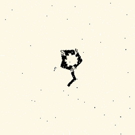 CC[n+]1cnsc1.[I-]